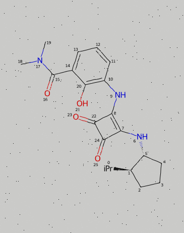 CC(C)[C@@H]1CCC[C@H]1Nc1c(Nc2cccc(C(=O)N(C)C)c2O)c(=O)c1=O